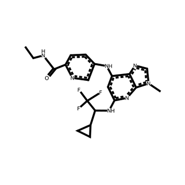 CCNC(=O)c1ccc(Nc2cc(NC(C3CC3)C(F)(F)F)nc3c2ncn3C)cn1